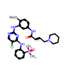 COc1ccc(NC(=O)/C=C/CN2CCCCC2)cc1Nc1ncc(Cl)c(Nc2ccccc2P(C)(C)=O)n1